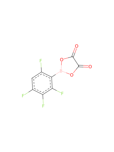 O=C1OB(c2c(F)cc(F)c(F)c2F)OC1=O